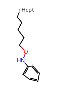 CCCCCCCCCCCCONc1[c]cccc1